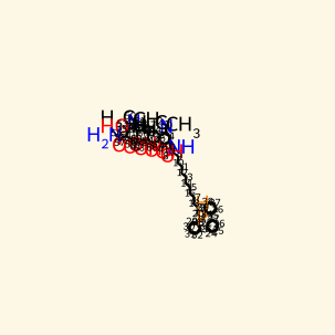 CN(C)c1cc(NC(=O)CCCCCCCCCCCC[PH](c2ccccc2)(c2ccccc2)c2ccccc2)c(O)c2c1C[C@H]1C[C@H]3[C@H](N(C)C)C(O)=C(C(N)=O)C(=O)[C@@]3(O)C(O)=C1C2=O